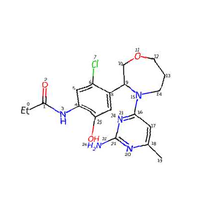 CCC(=O)Nc1cc(Cl)c(C2COCCCN2c2cc(C)nc(N)n2)cc1O